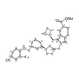 COC(=O)c1ccc2nc(CN3CC[C@@H](c4cccc(COc5ccc(Cl)cc5F)c4)C3)n(C[C@@H]3CCO3)c2c1